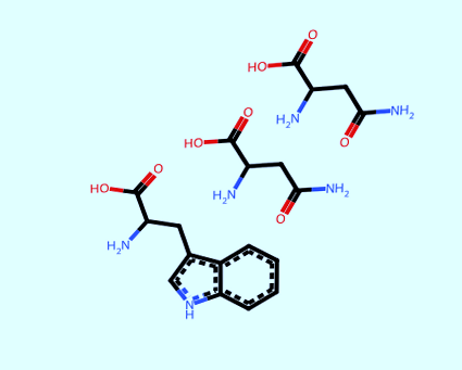 NC(=O)CC(N)C(=O)O.NC(=O)CC(N)C(=O)O.NC(Cc1c[nH]c2ccccc12)C(=O)O